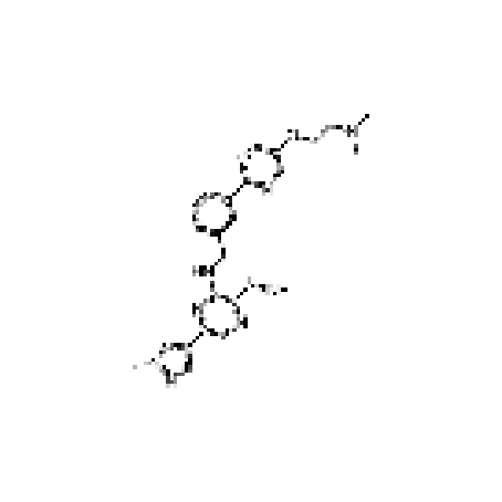 CN(C)CCOc1cnc(-c2cccc(CNc3nc(-c4cnn(C)c4)cnc3N=N)c2)nc1